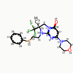 C[C@@]1(C(F)(F)F)Cn2c(nc(N3CCOCC3)cc2=O)N1CCSc1ccccc1